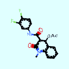 CC(=O)Oc1c(C(=O)Nc2ccc(F)c(F)c2)c(=O)n(C)c2ccccc12